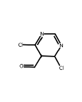 O=CC1C(Cl)=NC=NC1Cl